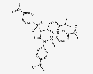 CC(C)c1ccc(N(C(=S)N(c2ccc([N+](=O)[O-])cc2)S(=O)(=O)c2ccc([N+](=O)[O-])cc2)S(=O)(=O)c2ccc([N+](=O)[O-])cc2)cc1